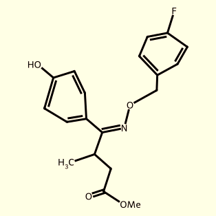 COC(=O)CC(C)C(=NOCc1ccc(F)cc1)c1ccc(O)cc1